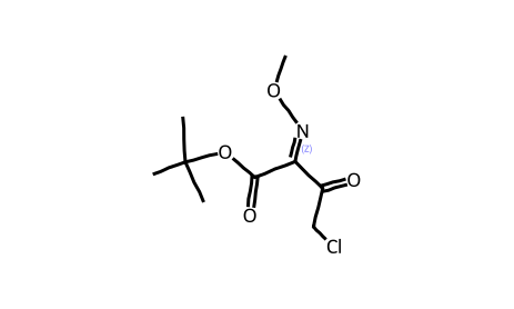 CO/N=C(/C(=O)CCl)C(=O)OC(C)(C)C